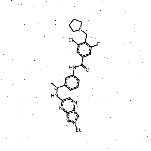 CCn1cc2ncc(N[C@@H](C)c3cccc(NC(=O)c4cc(F)c(CN5CCCC5)c(Cl)c4)c3)nc2n1